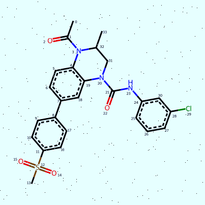 CC(=O)N1c2ccc(-c3ccc(S(C)(=O)=O)cc3)cc2N(C(=O)Nc2cccc(Cl)c2)CC1C